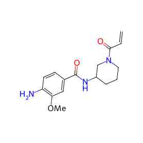 C=CC(=O)N1CCCC(NC(=O)c2ccc(N)c(OC)c2)C1